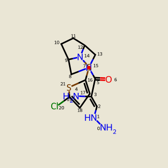 NN/C=C(\N)C(=O)N1CC2CCC(C1)N2Sc1ccc(Cl)s1